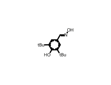 CC(C)(C)c1cc(C=NO)cc(C(C)(C)C)c1O